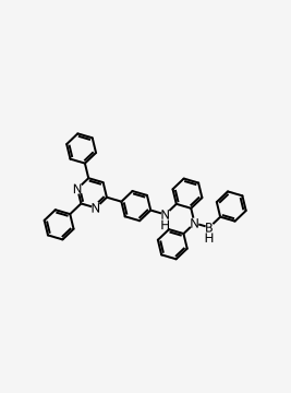 B(c1ccccc1)N(c1ccccc1)c1ccccc1Nc1ccc(-c2cc(-c3ccccc3)nc(-c3ccccc3)n2)cc1